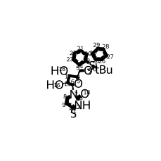 CC(C)(C)[Si](OC[C@H]1O[C@@H](n2ccc(=S)[nH]c2=O)[C@H](O)[C@@H]1O)(c1ccccc1)c1ccccc1